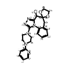 ClC1c2nnc(N3CCN(c4ccccn4)CC3)n2-c2ccccc2CC12OCCO2